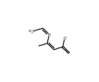 C=C(Cl)/C=C(C)\N=C/N